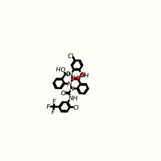 O=C(O)c1ccccc1N(C(=O)Nc1cc(Cl)ccc1Cl)N(C(=O)Nc1cc(C(F)(F)F)ccc1Cl)c1ccccc1C(=O)O